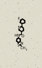 Cc1nc2cc(NC(=O)c3ccc(-c4cccc(F)c4)nc3)ccc2s1